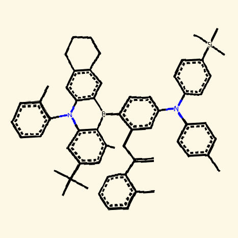 C=C(Cc1cc(N(c2ccc(C)cc2)c2ccc([Si](C)(C)C)cc2)ccc1B1c2cc3c(cc2N(c2ccccc2C)c2cc(C(C)(C)C)cc(C)c21)CCCC3)c1ccccc1C